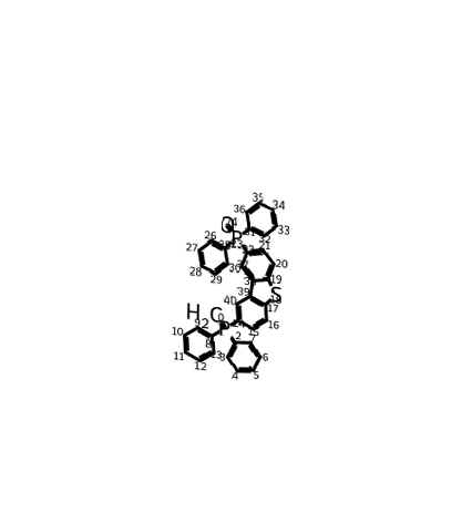 C=P(c1ccccc1)(c1ccccc1)c1ccc2sc3ccc(P(=O)(c4ccccc4)c4ccccc4)cc3c2c1